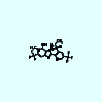 CCS(=O)(=O)c1cc(C(F)(F)F)cnc1-c1nc2c(n1C)C(O)N(C)C(C(F)(F)F)=C2